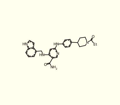 CCC(=O)N1CCC(c2ccc(Nc3cc(NCc4cccc5[nH]ccc45)c(C(N)=O)cn3)cc2)CC1